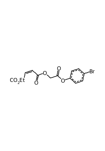 CCOC(=O)/C=C\C(=O)OCC(=O)Oc1ccc(Br)cc1